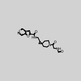 O=CNCC(=O)N1CCC2(CC1)CC2CNC(=O)c1cc2ccncc2o1